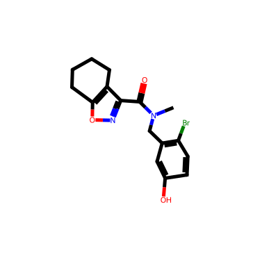 CN(Cc1cc(O)ccc1Br)C(=O)c1noc2c1CCCC2